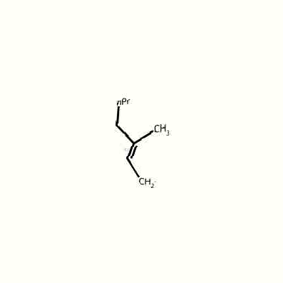 [CH2]/C=C(\C)CCCC